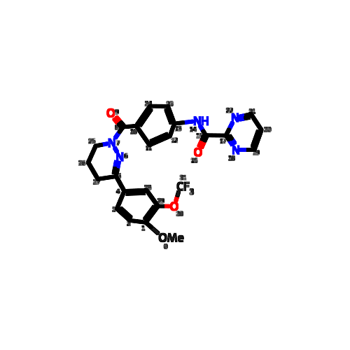 COc1ccc(C2=NN(C(=O)c3ccc(NC(=O)c4ncccn4)cc3)CCC2)cc1OC(F)(F)F